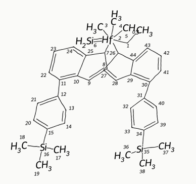 C[CH2][Hf]([CH3])([CH3])([CH3])(=[SiH2])([CH]1C=Cc2c(-c3ccc([Si](C)(C)C)cc3)cccc21)[CH]1C=Cc2c(-c3ccc([Si](C)(C)C)cc3)cccc21